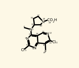 CN(c1nc(Cl)nc2c(F)c(Cl)ncc12)C1CCN(C(=O)O)C1